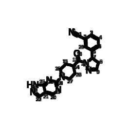 N#Cc1cccc(C2CC=NN2C(=O)C2CCN(c3ncc4cn[nH]c4n3)CC2)c1